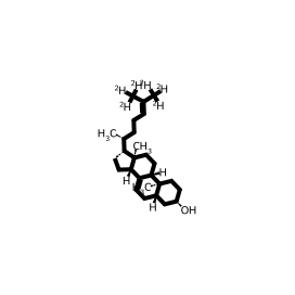 [2H]C([2H])([2H])C(=CCC[C@@H](C)[C@H]1CC[C@H]2C3=CC[C@H]4C[C@@H](O)CC[C@]4(C)[C@H]3CC[C@]12C)C([2H])([2H])[2H]